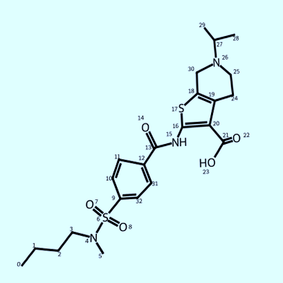 CCCCN(C)S(=O)(=O)c1ccc(C(=O)Nc2sc3c(c2C(=O)O)CCN(C(C)C)C3)cc1